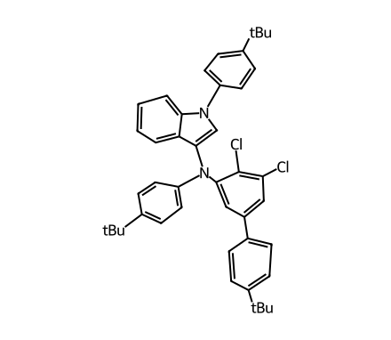 CC(C)(C)c1ccc(-c2cc(Cl)c(Cl)c(N(c3ccc(C(C)(C)C)cc3)c3cn(-c4ccc(C(C)(C)C)cc4)c4ccccc34)c2)cc1